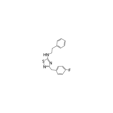 Fc1ccc(Cc2nsc(NCCc3ccccc3)n2)cc1